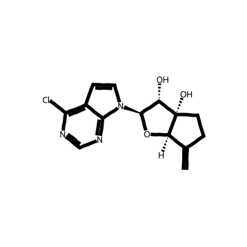 C=C1CC[C@@]2(O)[C@@H]1O[C@@H](n1ccc3c(Cl)ncnc31)[C@@H]2O